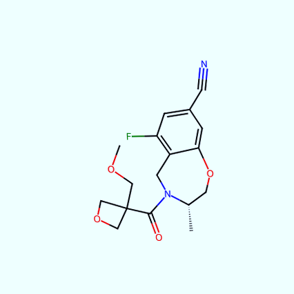 COCC1(C(=O)N2Cc3c(F)cc(C#N)cc3OC[C@@H]2C)COC1